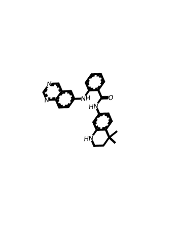 CC1(C)CCNc2cc(NC(=O)c3ccccc3Nc3ccc4ncncc4c3)ccc21